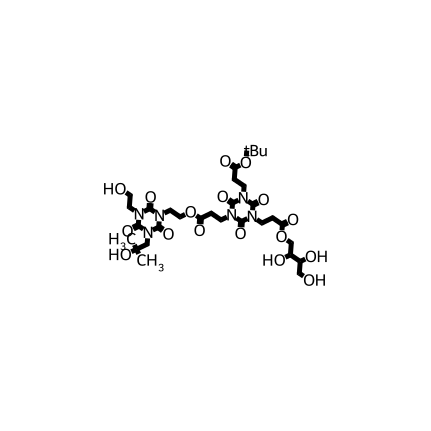 CC(C)(O)Cn1c(=O)n(CCO)c(=O)n(CCOC(=O)CCn2c(=O)n(CCC(=O)OCC(O)C(O)CO)c(=O)n(CCC(=O)OC(C)(C)C)c2=O)c1=O